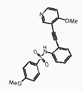 COc1ccc(S(=O)(=O)Nc2ccccc2C#Cc2cnccc2OC)cc1